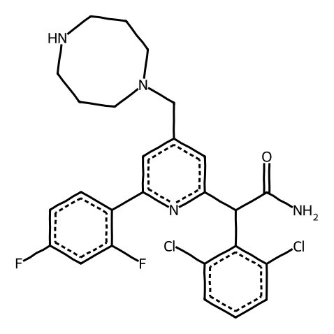 NC(=O)C(c1cc(CN2CCCNCCC2)cc(-c2ccc(F)cc2F)n1)c1c(Cl)cccc1Cl